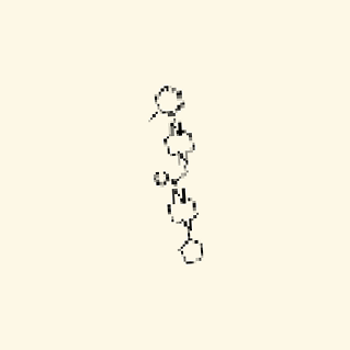 Cc1ccccc1N1CCN(CC(=O)N2CCN(C3CCCC3)CC2)CC1